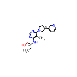 CC[C@H](CO)Nc1ncnc(N2CC[C@@H](c3cccnc3)C2)c1C